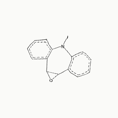 IN1c2ccccc2C2OC2c2ccccc21